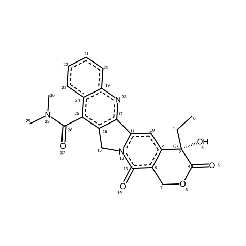 CC[C@@]1(O)C(=O)OCc2c1cc1n(c2=O)Cc2c-1nc1ccccc1c2C(=O)N(C)C